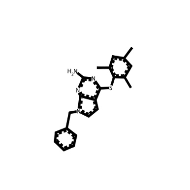 Cc1cc(C)c(Sc2nc(N)nc3c2ccn3Cc2ccccc2)c(C)c1